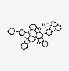 CC1(C)c2ccccc2-c2ccc(-c3c4oc5cccc(N(c6ccc(-c7ccccc7)cc6)c6cccc7c6oc6ccccc67)c5c4cc4oc5ccccc5c34)cc21